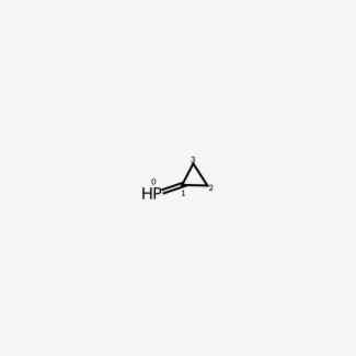 P=C1CC1